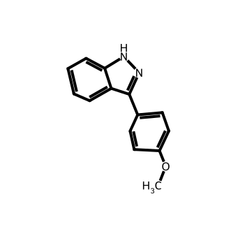 COc1ccc(-c2n[nH]c3ccccc23)cc1